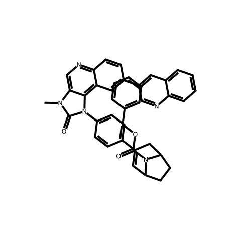 Cn1c(=O)n(-c2ccc(C3=CC4CCC(C3)N4C(=O)OCc3ccccc3)cc2)c2c3cc(-c4cnc5ccccc5c4)ccc3ncc21